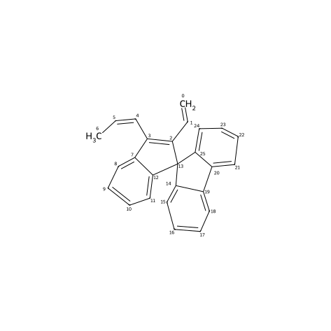 C=CC1=C(/C=C\C)c2ccccc2C12c1ccccc1-c1ccccc12